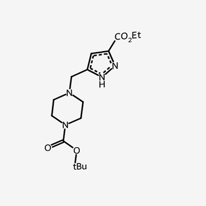 CCOC(=O)c1cc(CN2CCN(C(=O)OC(C)(C)C)CC2)[nH]n1